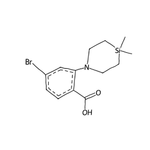 C[Si]1(C)CCN(c2cc(Br)ccc2C(=O)O)CC1